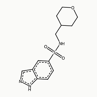 O=S(=O)(NCC1CCOCC1)c1ccc2[nH]ncc2c1